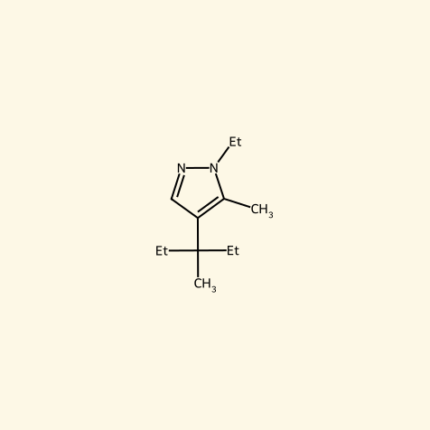 CCn1ncc(C(C)(CC)CC)c1C